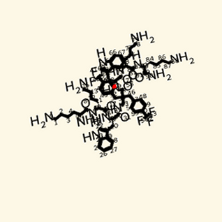 NCCCC[C@@H](N)C(=O)N[C@H](CCCCN)C(=O)N[C@H](Cc1c[nH]c2ccccc12)C(=O)NCC(Cc1ccc(C(F)(F)F)cc1)(Cc1ccc(C(F)(F)F)cc1)C(=O)N[C@@H](Cc1c[nH]c2ccccc12)C(=O)N[C@@H](CCCCN)C(=O)N[C@@H](CCCCN)C(N)=O